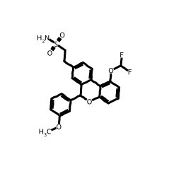 COc1cccc(C2Oc3cccc(OC(F)F)c3-c3ccc(CCS(N)(=O)=O)cc32)c1